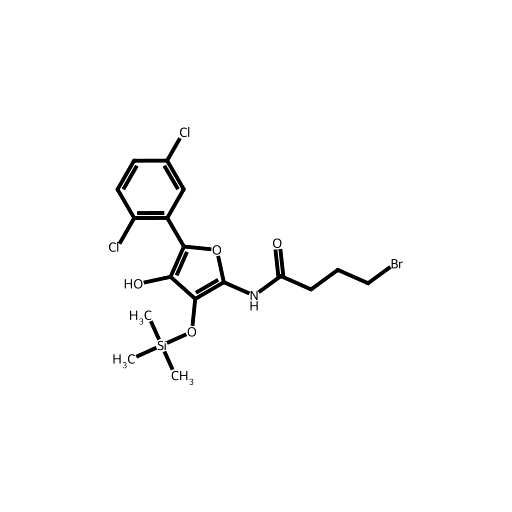 C[Si](C)(C)Oc1c(NC(=O)CCCBr)oc(-c2cc(Cl)ccc2Cl)c1O